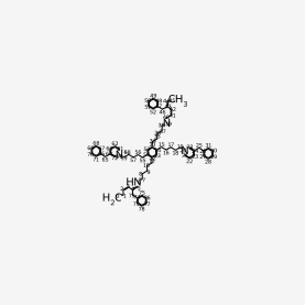 C=C/C=C\C(=C/NCCCCCc1cc(CCCCC[n+]2cccc(Cc3ccccc3)c2)c(CCCCC/N=C/C=C\C(=C/C)Cc2ccccc2)cc1CCCCC[n+]1cccc(Cc2ccccc2)c1)Cc1ccccc1